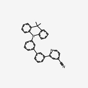 CC1(C)c2ccccc2N(c2cccc(-c3cccc(-c4cc(C#N)ccn4)c3)c2)c2ccccc21